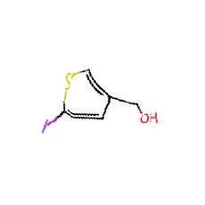 OCc1csc(I)c1